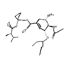 CCC(CC)O[C@@H]1C=C(C(=O)OC2(OC(=O)[C@H](C)C(C)C)CC2)C[C@H](N)[C@H]1NC(C)=O